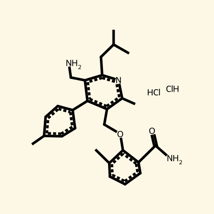 Cc1ccc(-c2c(COc3c(C)cccc3C(N)=O)c(C)nc(CC(C)C)c2CN)cc1.Cl.Cl